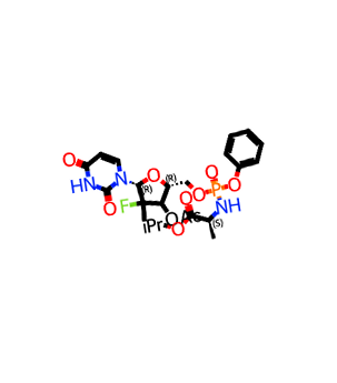 CC(=O)OC1[C@@H](COP(=O)(N[C@@H](C)C(=O)OC(C)C)Oc2ccccc2)O[C@@H](n2ccc(=O)[nH]c2=O)C1(C)F